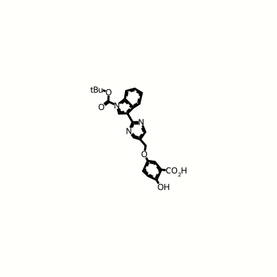 CC(C)(C)OC(=O)n1cc(-c2ncc(COc3ccc(O)c(C(=O)O)c3)cn2)c2ccccc21